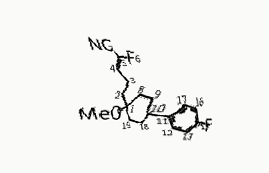 COC1(CCC=C(F)C#N)CCC(c2ccc(F)cc2)CC1